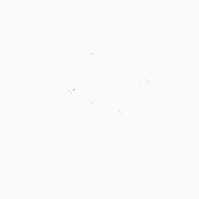 C=CCNC(=O)C(=O)C(CCC)NC(=O)[C@@H]1C2CC(C)(C)OC2CN1C(=O)[C@@H](NC(=O)OC(C)(C)C)C1CCCCC1